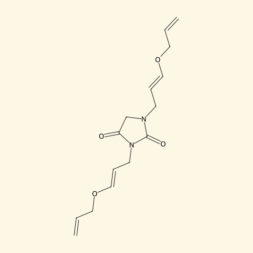 C=CCOC=CCN1CC(=O)N(CC=COCC=C)C1=O